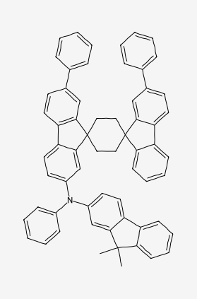 CC1(C)c2ccccc2-c2ccc(N(c3ccccc3)c3ccc4c(c3)C3(CCC5(CC3)c3ccccc3-c3ccc(-c6ccccc6)cc35)c3cc(-c5ccccc5)ccc3-4)cc21